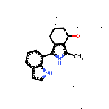 Cc1[nH]c(-c2cccc3cc[nH]c23)c2c1C(=O)CCC2